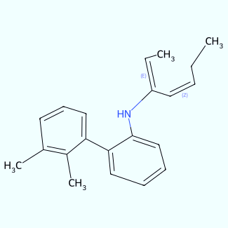 C/C=C(\C=C/CC)Nc1ccccc1-c1cccc(C)c1C